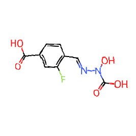 O=C(O)c1ccc(C=NN(O)C(=O)O)c(F)c1